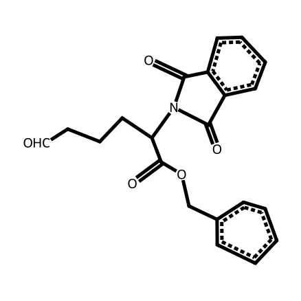 O=CCCCC(C(=O)OCc1ccccc1)N1C(=O)c2ccccc2C1=O